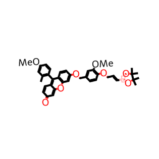 COc1ccc(-c2c3ccc(=O)cc-3oc3cc(OCc4ccc(OCC=CB5OC(C)(C)C(C)(C)O5)c(OC)c4)ccc23)c(C)c1